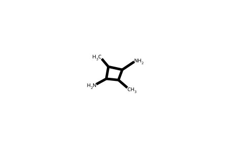 CC1C(N)C(C)C1N